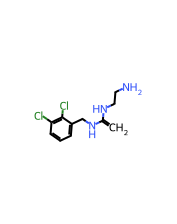 C=C(NCCN)NCc1cccc(Cl)c1Cl